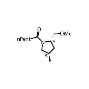 CCCCCC(=O)N1C[C@H](C)C[C@H]1COC